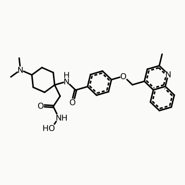 Cc1cc(COc2ccc(C(=O)NC3(CC(=O)NO)CCC(N(C)C)CC3)cc2)c2ccccc2n1